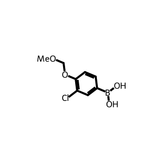 COCOc1ccc(B(O)O)cc1Cl